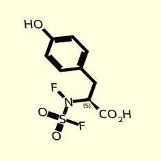 O=C(O)[C@H](Cc1ccc(O)cc1)N(F)S(=O)(=O)F